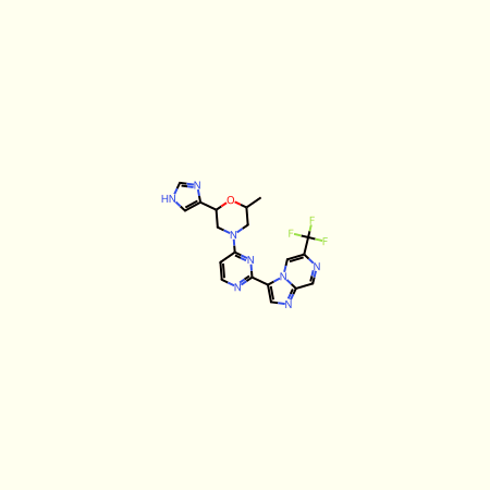 CC1CN(c2ccnc(-c3cnc4cnc(C(F)(F)F)cn34)n2)CC(c2c[nH]cn2)O1